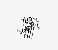 CCCCC(C)(C)COC(=O)NCCC(C)(C)OCCC(C)(C)OC